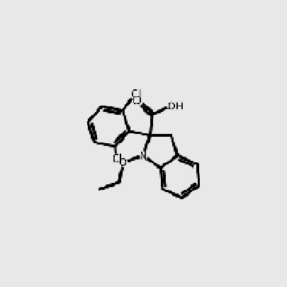 CCON1c2ccccc2CC1(C(=O)O)c1c(Cl)cccc1Cl